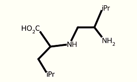 CC(C)CC(NCC(N)C(C)C)C(=O)O